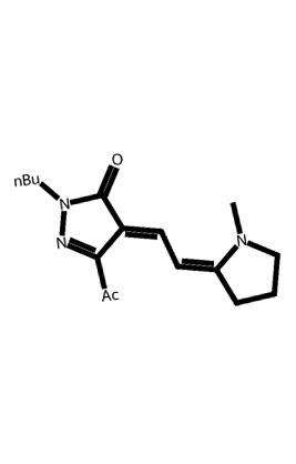 CCCCN1N=C(C(C)=O)/C(=C\C=C2\CCCN2C)C1=O